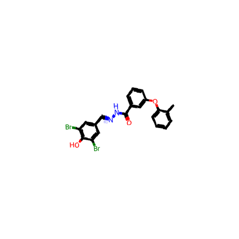 Cc1ccccc1Oc1cccc(C(=O)N/N=C/c2cc(Br)c(O)c(Br)c2)c1